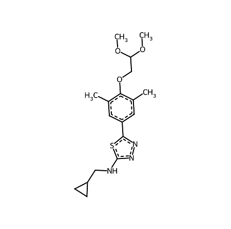 COC(COc1c(C)cc(-c2nnc(NCC3CC3)s2)cc1C)OC